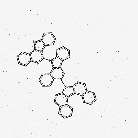 c1ccc2c(c1)ccc1c2c2c3ccccc3ccc2n1-c1cc2c3ccccc3n(-c3nc4ccccc4c4nc5ccccc5n34)c2c2ccccc12